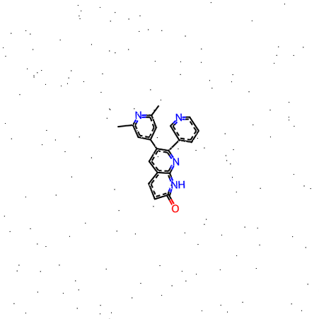 Cc1cc(-c2cc3ccc(=O)[nH]c3nc2-c2cccnc2)cc(C)n1